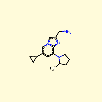 NCc1cn2cc(C3CC3)cc(N3CCCC3C(F)(F)F)c2n1